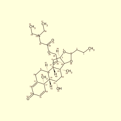 CCCC1O[C@@H]2C[C@H]3[C@@H]4CCC5=CC(=O)C=C[C@]5(C)[C@H]4[C@@H](O)C[C@]3(C)[C@]2(C(=O)COC(=O)CN(CC)CC)O1